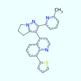 Cc1cccc(-c2nn3c(c2-c2ccnc4c(-c5cccs5)cccc24)CCC3)n1